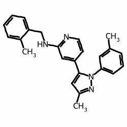 Cc1cccc(-n2nc(C)cc2-c2ccnc(NCc3ccccc3C)c2)c1